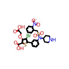 O=C(O)COc1c(C(=O)O)sc(-c2cccc(N(C3CCNCC3)S(=O)(=O)Cc3ccccc3[N+](=O)[O-])c2)c1Br